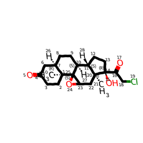 C[C@]12CCC(=O)C[C@H]1CC[C@H]1[C@@H]3CC[C@](O)(C(=O)CCl)[C@@]3(C)CC3OC312